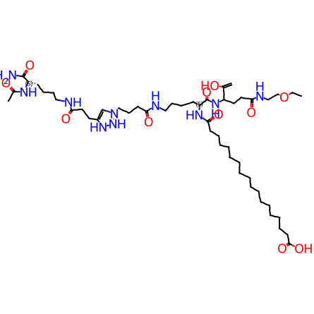 C=C(O)C(CCC(=O)NCCOCC)NC(=O)[C@H](CCCCNC(=O)CCCN1C=C(CCC(=O)NCCCC[C@H](NC(C)=O)C(N)=O)NN1)NC(=O)CCCCCCCCCCCCCCCCC(=O)O